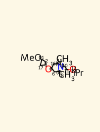 CO[C@H]1C[C@H](OC2C[C@@H](C)N(CCOC(C)C)[C@@H](C)C2)C1